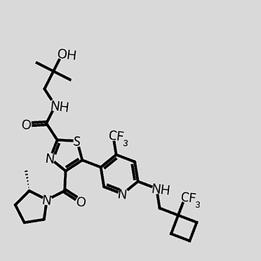 C[C@H]1CCCN1C(=O)c1nc(C(=O)NCC(C)(C)O)sc1-c1cnc(NCC2(C(F)(F)F)CCC2)cc1C(F)(F)F